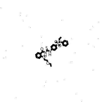 CCOCCOc1ccccc1C(=O)NC(=S)Nc1ccc(S(=O)(=O)N(CC)c2ccccc2)cc1